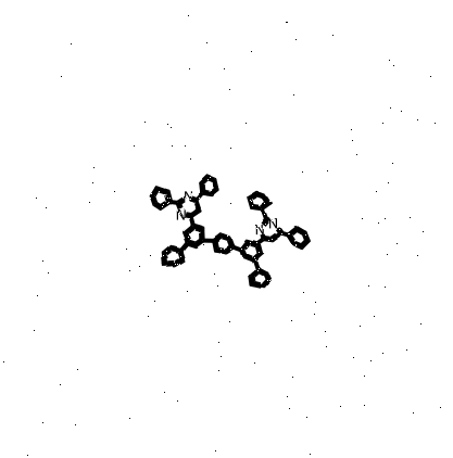 c1ccc(-c2cc(-c3ccc(-c4cc(-c5ccccc5)cc(-c5cc(-c6ccccc6)nc(-c6ccccc6)n5)c4)cc3)cc(-c3cc(-c4ccccc4)nc(-c4ccccc4)n3)c2)cc1